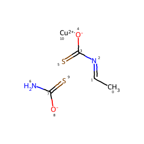 CC=NC([O-])=S.NC([O-])=S.[Cu+2]